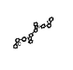 c1ccc2c(c1)oc1c(-c3ccc(-n4c5ccccc5c5cc(-c6ccc7c(c6)c6ccccc6n7-c6ccc(-c7cccc8c7sc7ccccc78)cc6)ccc54)cc3)cccc12